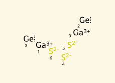 [Ga+3].[Ga+3].[Ge].[Ge].[S-2].[S-2].[S-2]